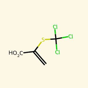 C=C(SC(Cl)(Cl)Cl)C(=O)O